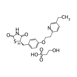 CCc1ccc(CCOc2ccc(C[C@H]3SC(=O)NC3=O)cc2)nc1.O=S(=O)(O)CCO